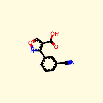 N#Cc1cccc(-c2nocc2C(=O)O)c1